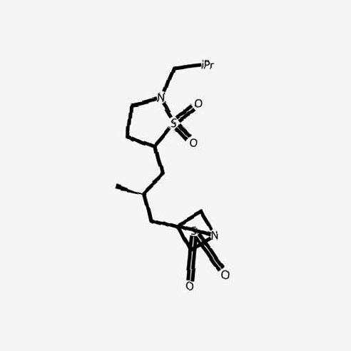 CC(C)CN1CCC(C[C@H](C)CC23CN(C2)S(=O)(=O)C3)S1(=O)=O